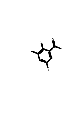 CC(=O)c1cc(I)cc(C)c1I